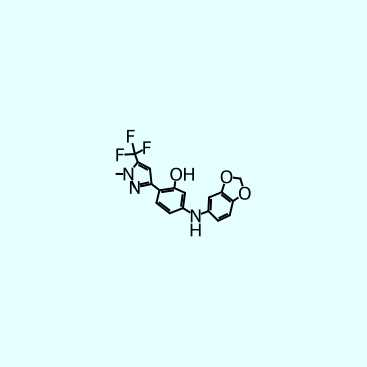 Cn1nc(-c2ccc(Nc3ccc4c(c3)OCO4)cc2O)cc1C(F)(F)F